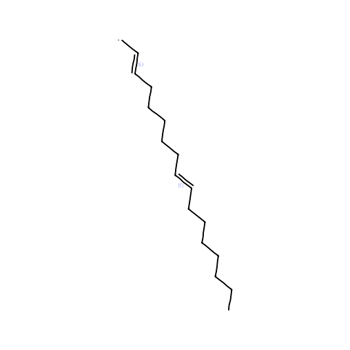 [CH2]/C=C/CCCCC/C=C/CCCCCCC